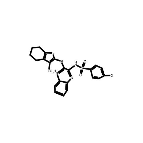 O=C(O)c1c(Nc2nc3ccccc3nc2NS(=O)(=O)c2ccc(Cl)cc2)sc2c1CCCC2